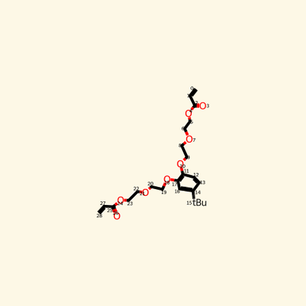 C=CC(=O)OCCOCCOc1ccc(C(C)(C)C)cc1OCCOCCOC(=O)C=C